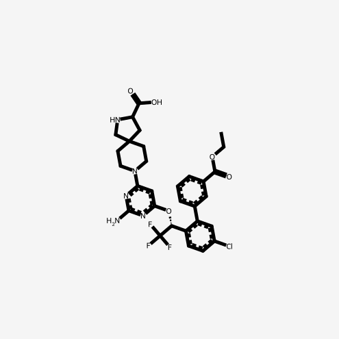 CCOC(=O)c1cccc(-c2cc(Cl)ccc2[C@@H](Oc2cc(N3CCC4(CC3)CNC(C(=O)O)C4)nc(N)n2)C(F)(F)F)c1